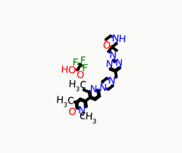 CCc1nc(N2CCN(Cc3cnc(N4CC5(CNCCO5)C4)nc3)CC2)ccc1-c1cc(C)c(=O)n(C)c1.O=C(O)C(F)(F)F